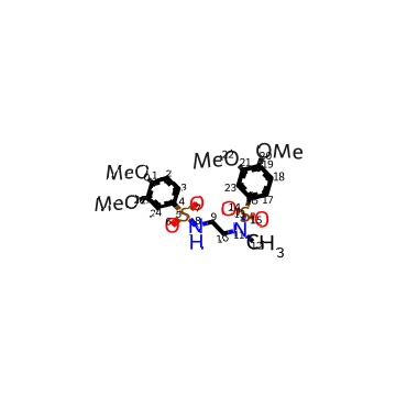 COc1ccc(S(=O)(=O)NCCN(C)S(=O)(=O)c2ccc(OC)c(OC)c2)cc1OC